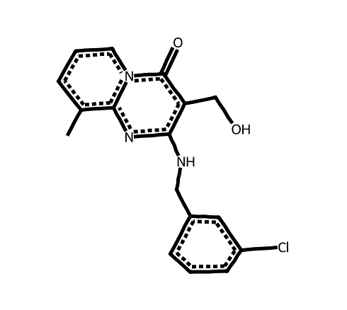 Cc1cccn2c(=O)c(CO)c(NCc3cccc(Cl)c3)nc12